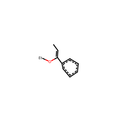 CC=C(OCC)c1ccccc1